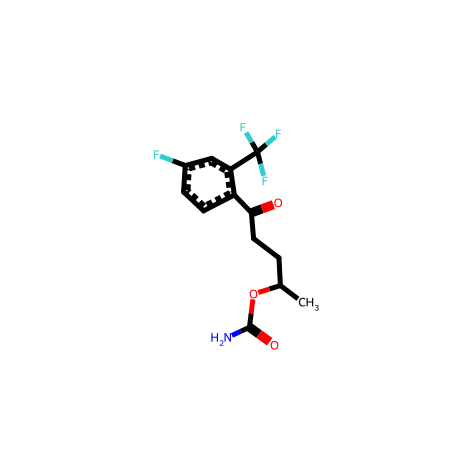 CC(CCC(=O)c1ccc(F)cc1C(F)(F)F)OC(N)=O